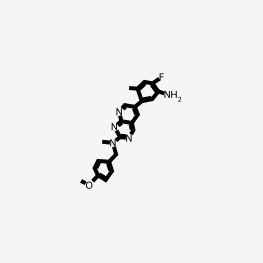 COc1ccc(CN(C)c2ncc3cc(-c4cc(N)c(F)cc4C)cnc3n2)cc1